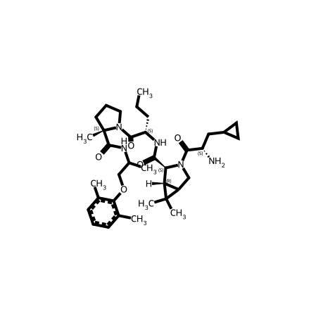 CCC[C@H](NC(=O)[C@@H]1[C@@H]2C(CN1C(=O)[C@@H](N)CC1CC1)C2(C)C)C(=O)N1CCC[C@@]1(C)C(=O)NC(C)COc1c(C)cccc1C